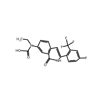 CCN(C(=O)O)c1ccc2cc(-c3ccc(F)cc3C(F)(F)F)[nH]c(=O)c2c1